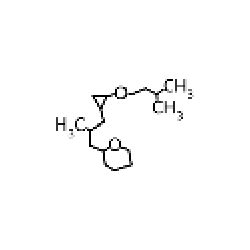 CC(C)CCOC1CC1CC(C)CC1CCCCO1